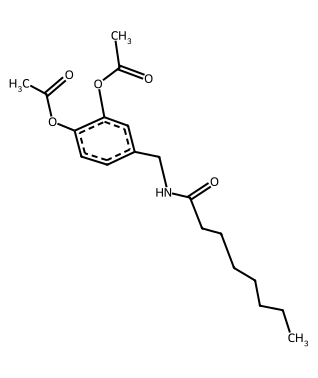 CCCCCCCC(=O)NCc1ccc(OC(C)=O)c(OC(C)=O)c1